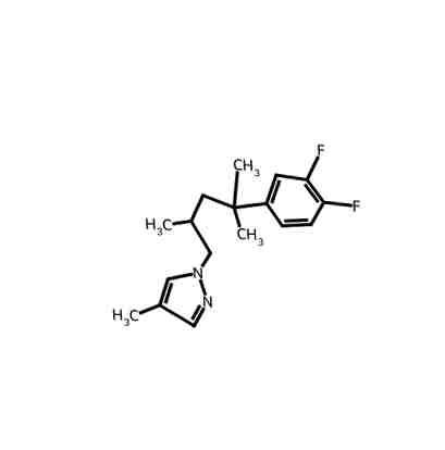 Cc1cnn(CC(C)CC(C)(C)c2ccc(F)c(F)c2)c1